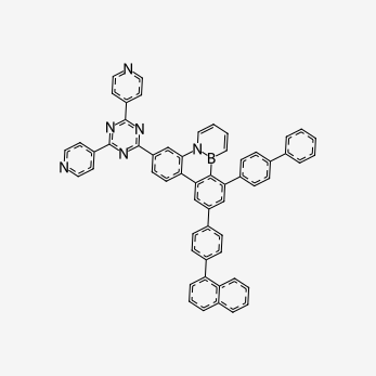 C1=CB2c3c(-c4ccc(-c5ccccc5)cc4)cc(-c4ccc(-c5cccc6ccccc56)cc4)cc3-c3ccc(-c4nc(-c5ccncc5)nc(-c5ccncc5)n4)cc3N2C=C1